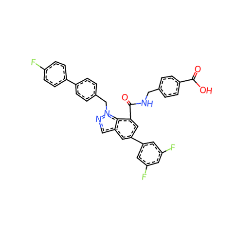 O=C(O)c1ccc(CNC(=O)c2cc(-c3cc(F)cc(F)c3)cc3cnn(Cc4ccc(-c5ccc(F)cc5)cc4)c23)cc1